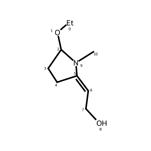 CCOC1CC/C(=C\CO)N1C